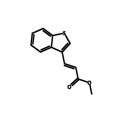 COC(=O)/C=C/c1csc2ccccc12